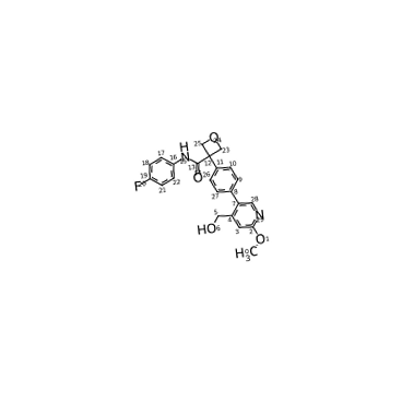 COc1cc(CO)c(-c2ccc(C3(C(=O)Nc4ccc(F)cc4)COC3)cc2)cn1